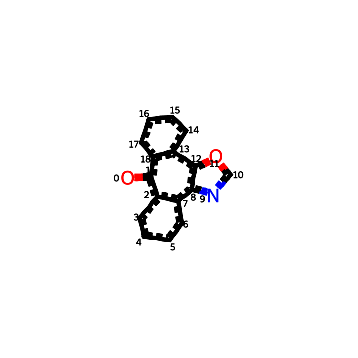 O=c1c2ccccc2c2ncoc2c2ccccc12